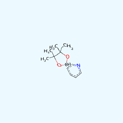 CC1(C)OBOC1(C)C.c1ccncc1